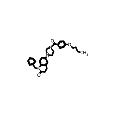 CCCCOc1ccc(C(=O)N2CCN(c3ccc4c(c3)CCC(=O)N4Cc3ccccc3)CC2)cc1